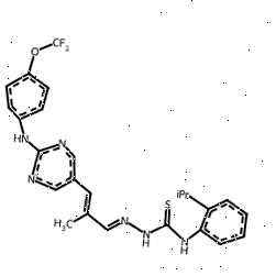 CC(C=NNC(=S)Nc1ccccc1C(C)C)=Cc1cnc(Nc2ccc(OC(F)(F)F)cc2)nc1